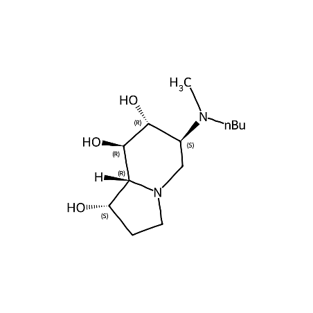 CCCCN(C)[C@H]1CN2CC[C@H](O)[C@@H]2[C@@H](O)[C@@H]1O